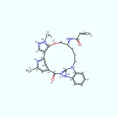 C=CC(=O)N[C@H]1CCCN2/C(=N/C(=O)c3cc(C)nc(c3)-c3cnn(C)c3OC1)Nc1ccccc12